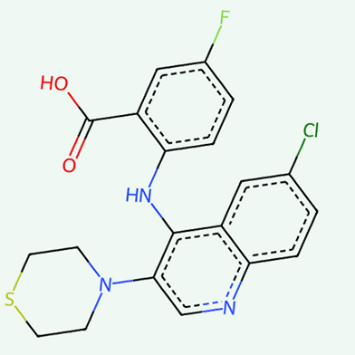 O=C(O)c1cc(F)ccc1Nc1c(N2CCSCC2)cnc2ccc(Cl)cc12